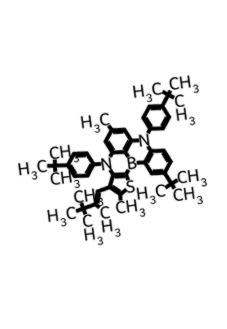 C/C(=C\c1c(C)sc2c1N(c1ccc(C(C)(C)C)cc1)c1cc(C)cc3c1B2c1cc(C(C)(C)C)ccc1N3c1ccc(C(C)(C)C)cc1)C(C)(C)C